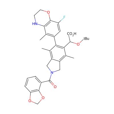 Cc1c(-c2c(C)c3c(c(C)c2C(OC(C)(C)C)C(=O)O)CN(C(=O)c2cccc4c2OCO4)C3)cc(F)c2c1NCCO2